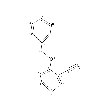 C#Cc1ccccc1O[CH]c1ccccc1